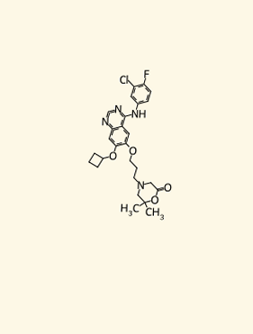 CC1(C)CN(CCCOc2cc3c(Nc4ccc(F)c(Cl)c4)ncnc3cc2OC2CCC2)CC(=O)O1